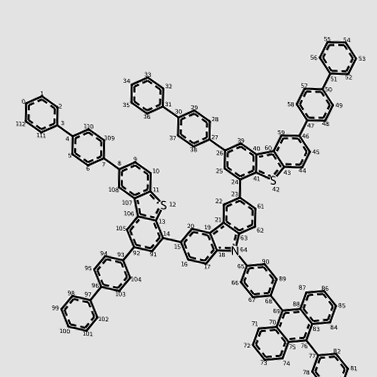 c1ccc(-c2ccc(-c3ccc4sc5c(-c6ccc7c(c6)c6cc(-c8cc(-c9ccc(-c%10ccccc%10)cc9)cc9c8sc8ccc(-c%10ccc(-c%11ccccc%11)cc%10)cc89)ccc6n7-c6ccc(-c7c8ccccc8c(-c8ccccc8)c8ccccc78)cc6)cc(-c6ccc(-c7ccccc7)cc6)cc5c4c3)cc2)cc1